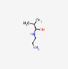 CC(C)C(O)NCCN